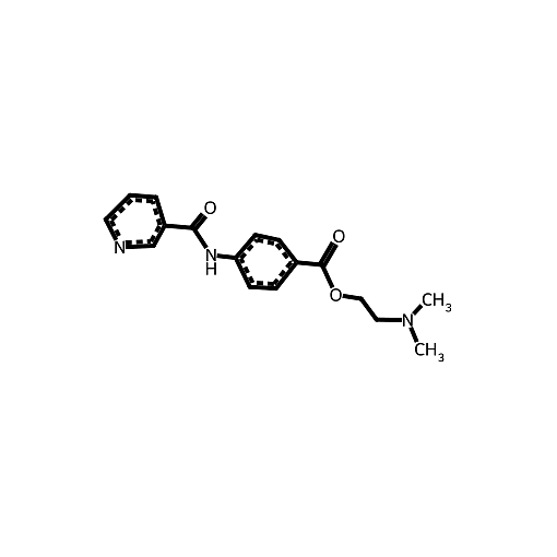 CN(C)CCOC(=O)c1ccc(NC(=O)c2cccnc2)cc1